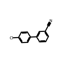 N#Cc1cc[c]c(-c2ccc(Cl)cc2)c1